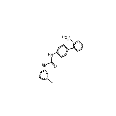 Cc1cccc(NC(=O)Nc2ccc(-c3ccccc3S(=O)(=O)O)cc2)c1